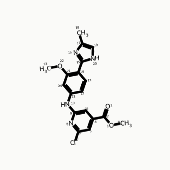 COC(=O)c1cc(Cl)nc(Nc2ccc(-c3nc(C)c[nH]3)c(OC)c2)c1